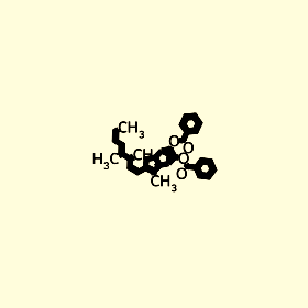 C=C(/C=C\C1=C(C)C2C(C1)C1CC2C(OC(=O)c2ccccc2)C1OC(=O)c1ccccc1)/C(C)=C/C=C\C